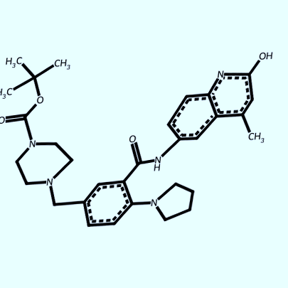 Cc1cc(O)nc2ccc(NC(=O)c3cc(CN4CCN(C(=O)OC(C)(C)C)CC4)ccc3N3CCCC3)cc12